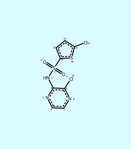 O=S(=O)(Nc1nccnc1Cl)c1ccc(Cl)s1